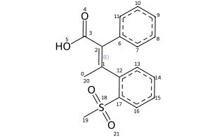 C/C(=C(\C(=O)O)c1ccccc1)c1ccccc1S(C)(=O)=O